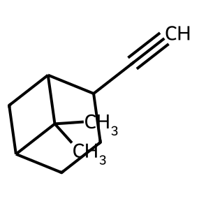 C#CC1CCC2CC1C2(C)C